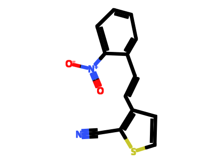 N#Cc1sccc1C=Cc1ccccc1[N+](=O)[O-]